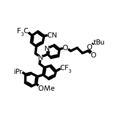 COc1ccc(C(C)C)cc1-c1ccc(C(F)(F)F)cc1CN(Cc1cc(C#N)cc(C(F)(F)F)c1)c1ccc(OCCCC(=O)OC(C)(C)C)cn1